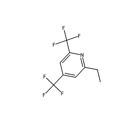 CCc1cc(C(F)(F)F)cc(C(F)(F)F)n1